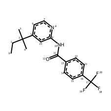 CCC(C)(C)c1ccnc(NC(=O)c2ccc(C(F)(F)F)cc2)c1